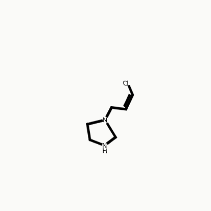 Cl/C=C\CN1CCNC1